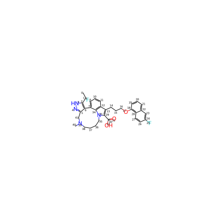 CCc1[nH]nc2c1-c1c(F)ccc3c(CCCOc4cccc5cc(F)ccc45)c(C(=O)O)n(c13)CCCCN(C)C2